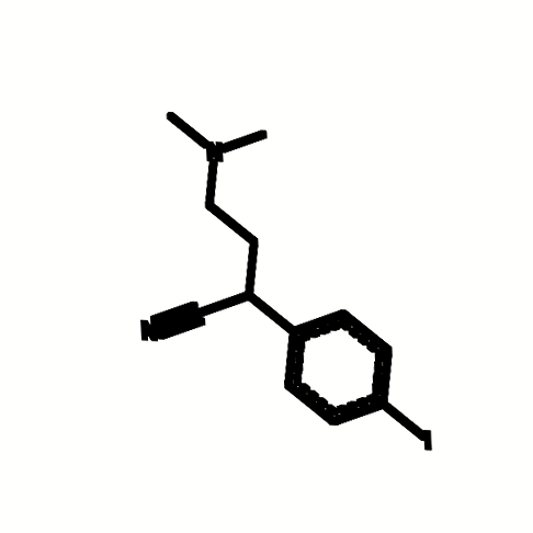 CN(C)CCC(C#N)c1ccc(I)cc1